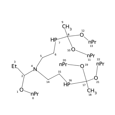 CCCOC(CC)N(CCPC(C)(OCCC)OCCC)CCPC(C)(OCCC)OCCC